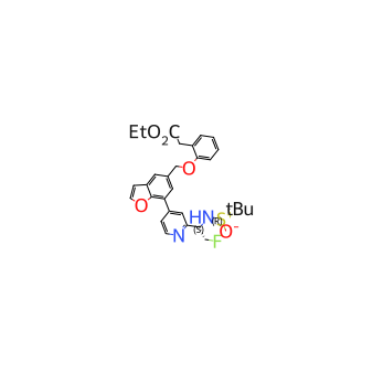 CCOC(=O)Cc1ccccc1OCc1cc(-c2ccnc([C@@H](CF)N[S@@+]([O-])C(C)(C)C)c2)c2occc2c1